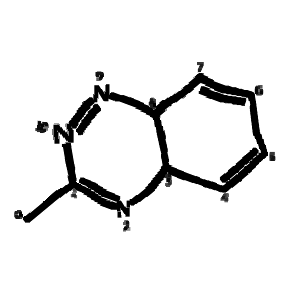 CC1=NC2C=CC=CC2N=N1